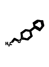 CCON1CCC(c2ccccc2)CC1